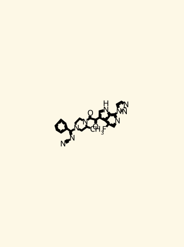 CC1CN(C(=NC#N)c2ccccc2)CCN1C(=O)C(=O)c1c[nH]c2c(-n3ccnn3)ncc(F)c12